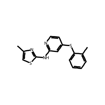 Cc1csc(Nc2cc(Sc3ccccc3C)ccn2)n1